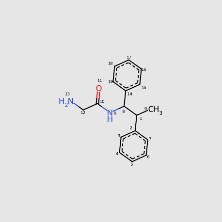 CC(c1ccccc1)C(NC(=O)CN)c1ccccc1